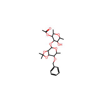 CC(=O)OC1C(C)OC(C)C(O)C1OC1OC(C)C(OCc2ccccc2)C2OC(C)(C)OC12